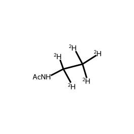 [2H]C([2H])([2H])C([2H])([2H])NC(C)=O